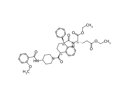 CCOC(=O)CC[C@H](NC(=O)[C@@]1(c2ccccc2)CC[C@H](C(=O)N2CCC(NC(=O)c3ccccc3OC)CC2)c2ccccc21)C(=O)OCC